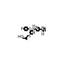 OCC1CC1CSc1cnc(Nc2ccc(-c3nnn[nH]3)cn2)c(Oc2ccc(F)cc2)c1